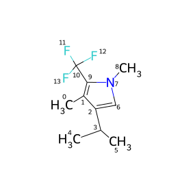 Cc1c(C(C)C)cn(C)c1C(F)(F)F